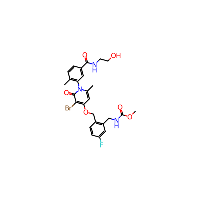 COC(=O)NCc1cc(F)ccc1COc1cc(C)n(-c2cc(C(=O)NCCO)ccc2C)c(=O)c1Br